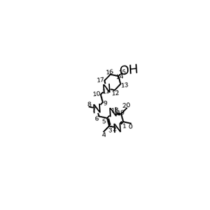 Cc1nc(C)c(CN(C)CCN2CCC(O)CC2)nc1C